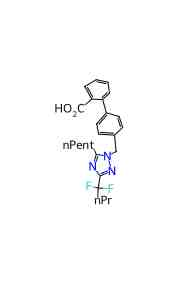 CCCCCc1nc(C(F)(F)CCC)nn1Cc1ccc(-c2ccccc2C(=O)O)cc1